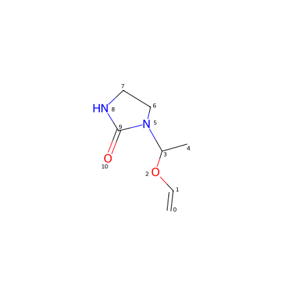 C=COC(C)N1CCNC1=O